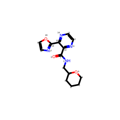 O=C(NCC1CCCCO1)c1nccnc1-c1ncco1